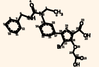 CCN(C(=O)NCc1ccccc1)c1cccc(-c2sc(C(=O)O)c(OCC(=O)O)c2Br)c1